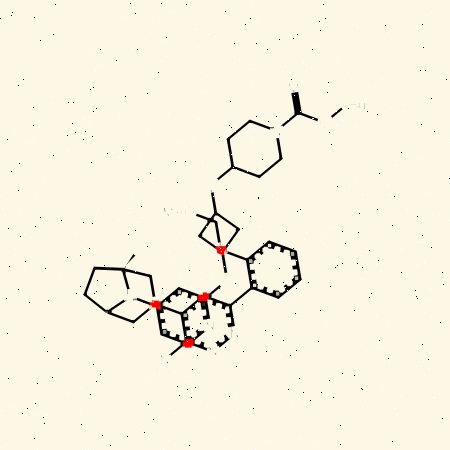 COCOc1ccccc1-c1cc(N2CC3CC[C@H](C2)N3c2ccnc(OC3CC(OC4CCN(C(=O)OC(C)(C)C)CC4)C3)c2)c(N)nn1